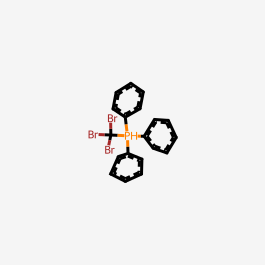 BrC(Br)(Br)[PH](c1ccccc1)(c1ccccc1)c1ccccc1